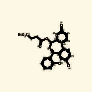 CCOC(=O)CCC(=O)OC1N=C(c2ccccc2Cl)c2cc(Cl)ccc2-n2ccc(=O)nc21